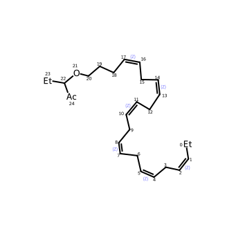 CC/C=C\C/C=C\C/C=C\C/C=C\C/C=C\C/C=C\CCCOC(CC)C(C)=O